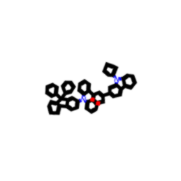 c1ccc(N(c2ccc3c(c2)C(c2ccccc2)(c2ccccc2)c2ccccc2-3)c2ccccc2-c2cccc(-c3ccc4c5ccccc5n(-c5ccccc5)c4c3)c2)cc1